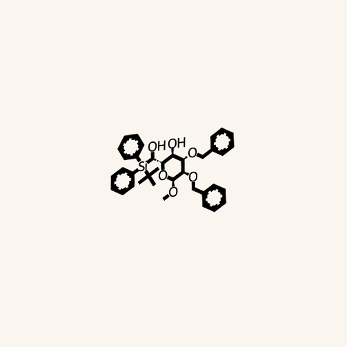 CO[C@H]1O[C@H](C(O)[Si](c2ccccc2)(c2ccccc2)C(C)(C)C)[C@@H](O)[C@H](OCc2ccccc2)[C@H]1OCc1ccccc1